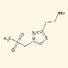 CC(C)(C)CCc1nc(CS(C)(=O)=O)cs1